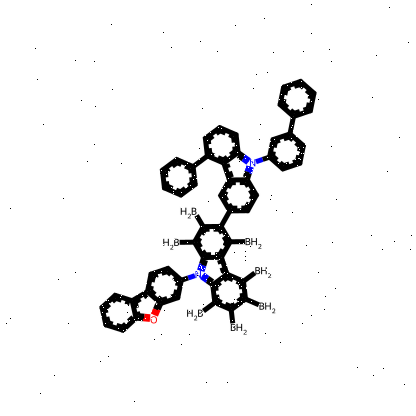 Bc1c(B)c(B)c2c(c1B)c1c(B)c(-c3ccc4c(c3)c3c(-c5ccccc5)cccc3n4-c3cccc(-c4ccccc4)c3)c(B)c(B)c1n2-c1ccc2c(c1)oc1ccccc12